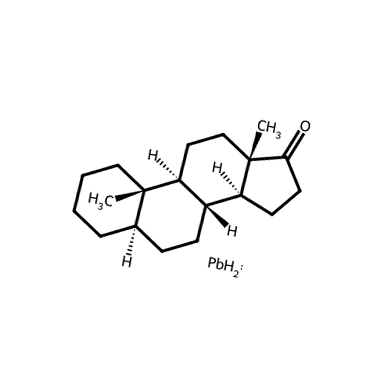 C[C@]12CCCC[C@@H]1CC[C@@H]1[C@@H]2CC[C@]2(C)C(=O)CC[C@@H]12.[PbH2]